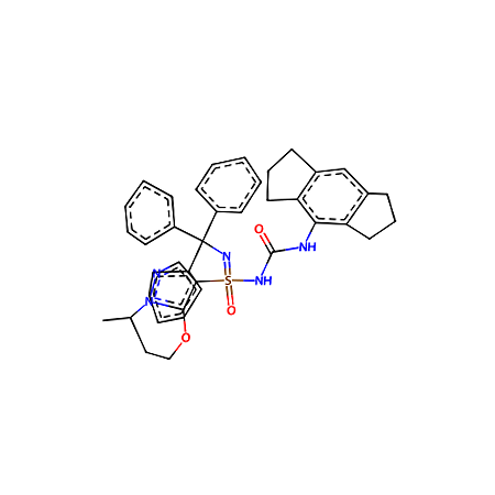 CC1CCOc2c(S(=O)(=NC(c3ccccc3)(c3ccccc3)c3ccccc3)NC(=O)Nc3c4c(cc5c3CCC5)CCC4)cnn21